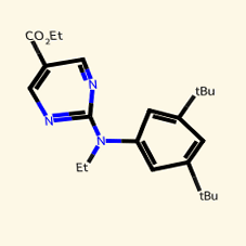 CCOC(=O)c1cnc(N(CC)c2cc(C(C)(C)C)cc(C(C)(C)C)c2)nc1